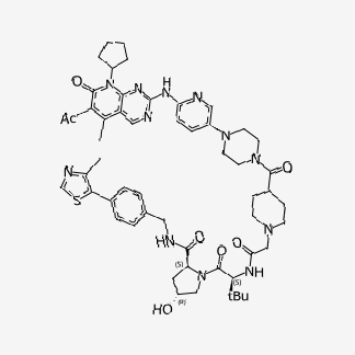 CC(=O)c1c(C)c2cnc(Nc3ccc(N4CCN(C(=O)C5CCN(CC(=O)N[C@H](C(=O)N6C[C@H](O)C[C@H]6C(=O)NCc6ccc(-c7scnc7C)cc6)C(C)(C)C)CC5)CC4)cn3)nc2n(C2CCCC2)c1=O